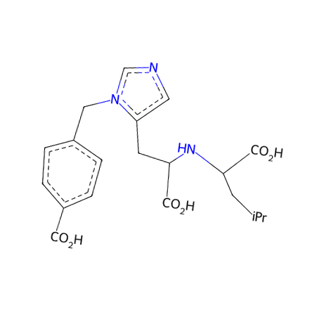 CC(C)CC(NC(Cc1cncn1Cc1ccc(C(=O)O)cc1)C(=O)O)C(=O)O